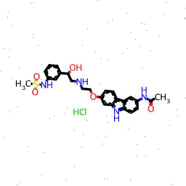 CC(=O)Nc1ccc2[nH]c3cc(OCCNCC(O)c4cccc(NS(C)(=O)=O)c4)ccc3c2c1.Cl